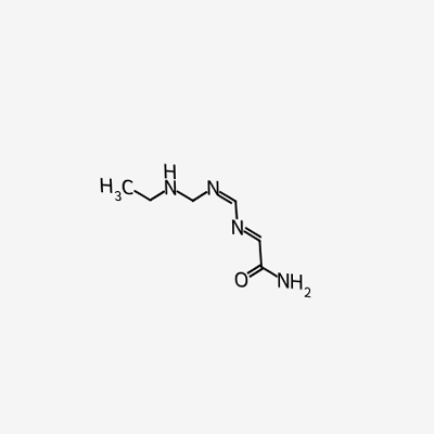 CCNC/N=C\N=C\C(N)=O